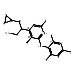 Cc1cc(C)c(Oc2nc(C)cc(C(CN)CC3CC3)c2C)c(C)c1